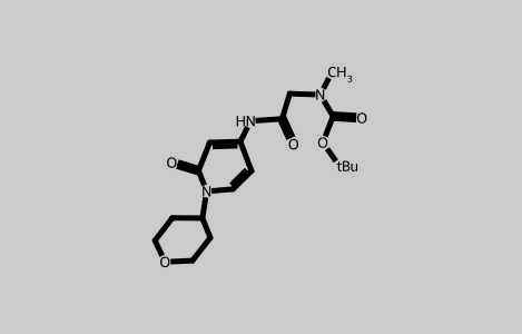 CN(CC(=O)Nc1ccn(C2CCOCC2)c(=O)c1)C(=O)OC(C)(C)C